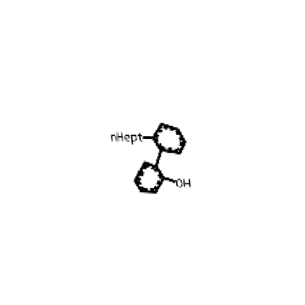 CCCCCCCc1ccccc1-c1ccccc1O